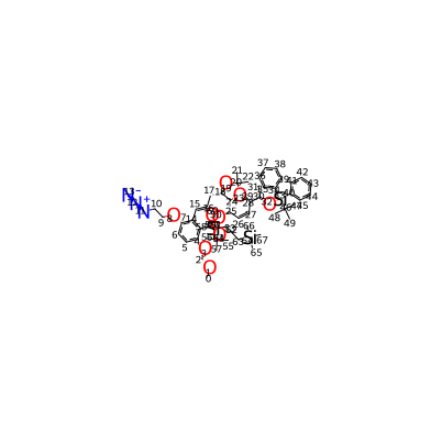 COCOc1ccc(OCCN=[N+]=[N-])c(/C=C/C[C@@H]2OC(C)(C)O[C@@H]2C(/C=C\[C@@H](C)C(C)O[Si](c2ccccc2)(c2ccccc2)C(C)(C)C)O[Si](C)(C)C(C)(C)C)c1C(=O)OCC[Si](C)(C)C